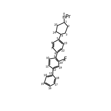 CCCC1CCC(c2ccc(-c3ccc(-c4ccccc4)cc3F)cc2)CC1